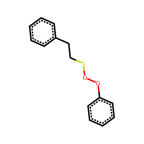 c1ccc(CCSOOc2ccccc2)cc1